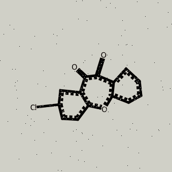 O=c1c(=O)c2cc(Cl)ccc2oc2ccccc12